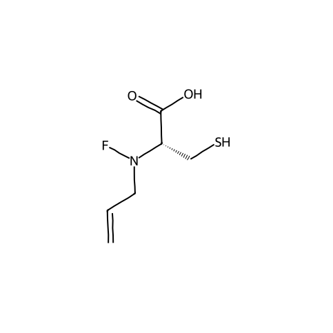 C=CCN(F)[C@@H](CS)C(=O)O